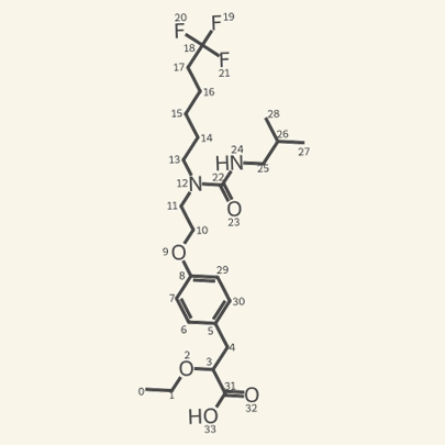 CCOC(Cc1ccc(OCCN(CCCCCC(F)(F)F)C(=O)NCC(C)C)cc1)C(=O)O